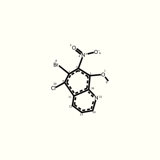 COc1c([N+](=O)[O-])c(Br)c(Cl)c2cccnc12